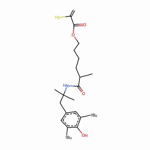 C=C(S)C(=O)OCCCCC(C)C(=O)NC(C)(C)Cc1cc(C(C)(C)C)c(O)c(C(C)(C)C)c1